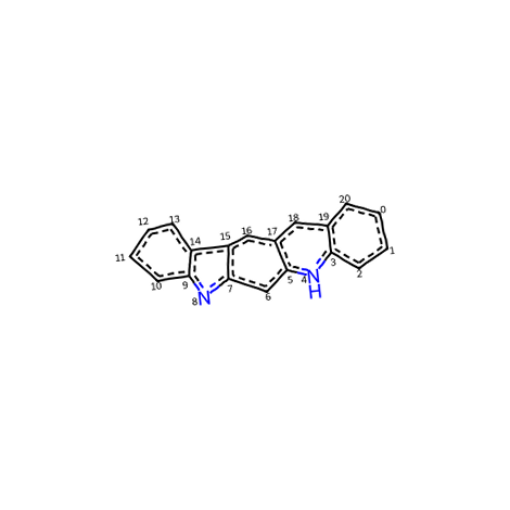 c1ccc2[nH]c3cc4nc5ccccc5c4cc3cc2c1